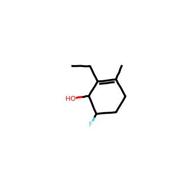 CCC1=C(C)CCC(F)C1O